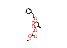 C=C(CC(=O)OCCc1ccccc1)C(=O)OCC(=O)OCC